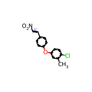 Cc1cc(Oc2ccc(/C=C/[N+](=O)[O-])cc2)ccc1Cl